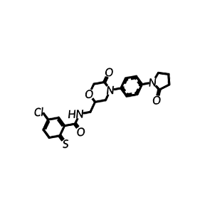 O=C(NCC1CN(c2ccc(N3CCCC3=O)cc2)C(=O)CO1)C1=CC(Cl)=CCC1=S